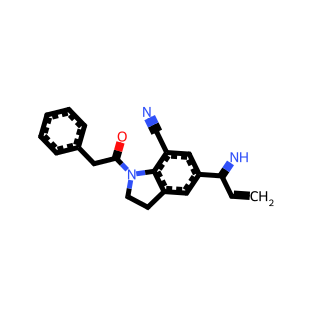 C=CC(=N)c1cc(C#N)c2c(c1)CCN2C(=O)Cc1ccccc1